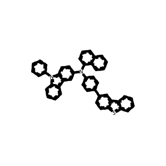 c1ccc(-n2c3ccccc3c3cc(N(c4ccc(-c5ccc6sc7ccccc7c6c5)cc4)c4cccc5ccccc45)ccc32)cc1